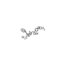 COc1ccc(C(O)Cc2cc3cc(C)n(CCN4CCOCC4)c3s2)cc1